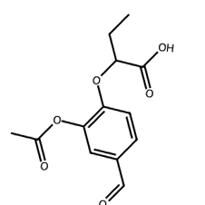 CCC(Oc1ccc(C=O)cc1OC(C)=O)C(=O)O